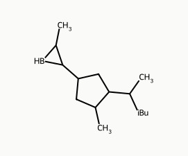 CCC(C)C(C)C1CC(C2BC2C)CC1C